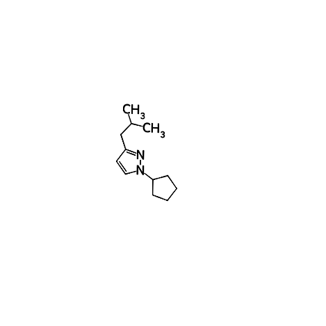 CC(C)Cc1ccn(C2CCCC2)n1